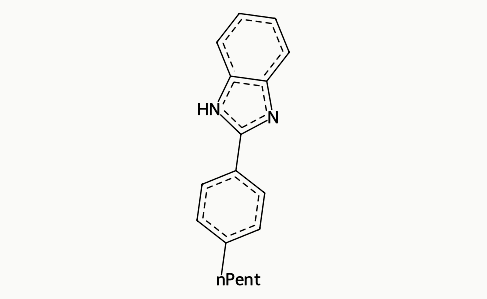 CCCCCc1ccc(-c2nc3ccccc3[nH]2)cc1